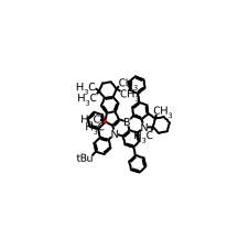 CC(C)(C)c1ccc(N2C3=C(B4c5cc(-c6ccccc6)cc6c5N(c5cc(-c7ccccc7)cc2c54)C2(C)CCCCC62C)c2cc4c(cc2C3(C)C)C(C)(C)CCC4(C)C)c(-c2ccccc2)c1